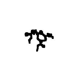 C[C@@H]1CN(C(=O)CI)C[C@H](C)O1.NC(=O)CI